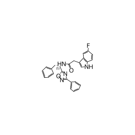 O=C(Cc1c[nH]c2ccc(F)cc12)N[C@@H](Cc1ccccc1)c1nc(-c2ccccc2)no1